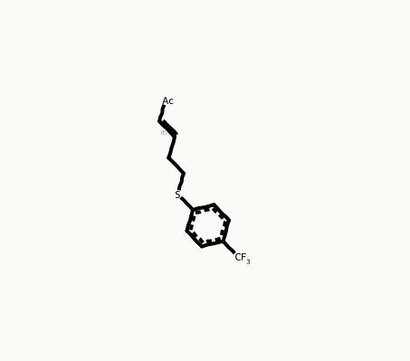 CC(=O)/C=C/CCSc1ccc(C(F)(F)F)cc1